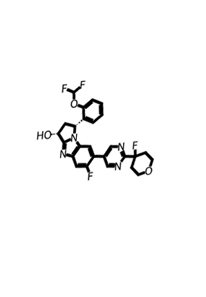 O[C@@H]1C[C@H](c2ccccc2OC(F)F)n2c1nc1cc(F)c(-c3cnc(C4(F)CCOCC4)nc3)cc12